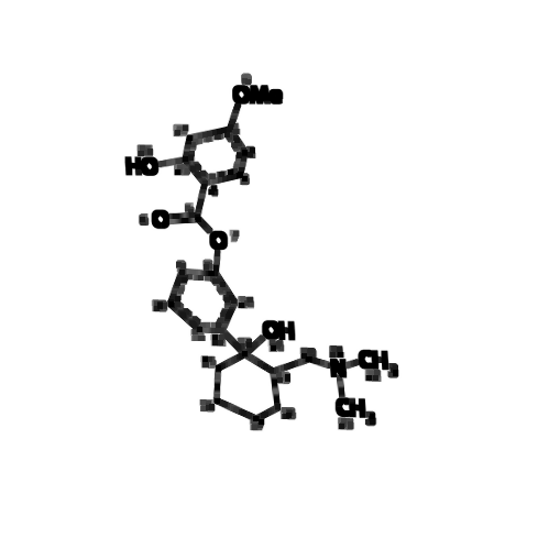 COc1ccc(C(=O)Oc2cccc(C3(O)CCCCC3CN(C)C)c2)c(O)c1